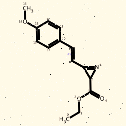 CCOC(=O)C1N=C1/C=C/c1ccc(OC)cc1